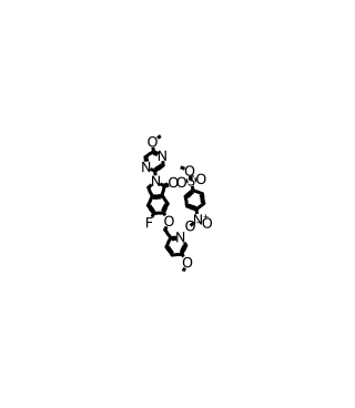 COS(=O)(=O)c1ccc([N+](=O)[O-])cc1.COc1ccc(COc2cc3c(cc2F)CN(c2cnc(OC)cn2)C3=O)nc1